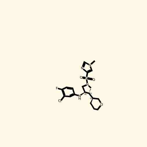 Cn1cnc(S(=O)(=O)N2C[C@H]([C@@H]3CCCOC3)[C@@H](Nc3ccc(F)c(Cl)c3)C2)c1